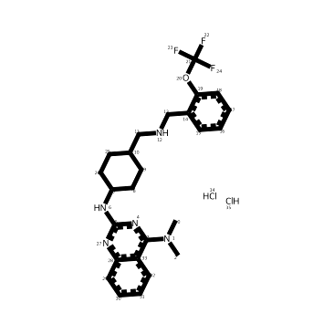 CN(C)c1nc(NC2CCC(CNCc3ccccc3OC(F)(F)F)CC2)nc2ccccc12.Cl.Cl